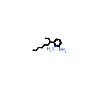 CCCCCCC(CC)c1cccc(N)c1N